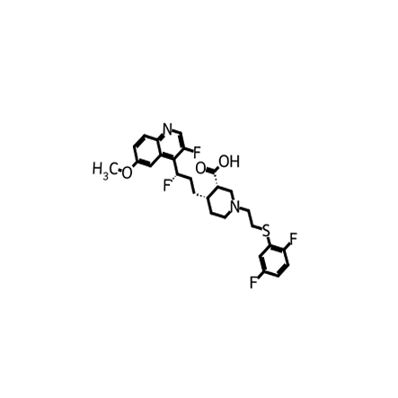 COc1ccc2ncc(F)c([C@@H](F)CC[C@H]3CCN(CCSc4cc(F)ccc4F)C[C@H]3C(=O)O)c2c1